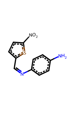 Nc1ccc(/N=C\c2ccc([N+](=O)[O-])s2)cc1